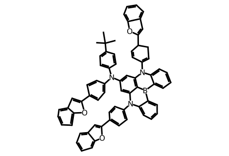 CC(C)(C)c1ccc(N(c2ccc(-c3cc4ccccc4o3)cc2)c2cc3c4c(c2)N(c2ccc(-c5cc6ccccc6o5)cc2)c2ccccc2B4c2ccccc2N3C2=CCC(c3cc4ccccc4o3)C=C2)cc1